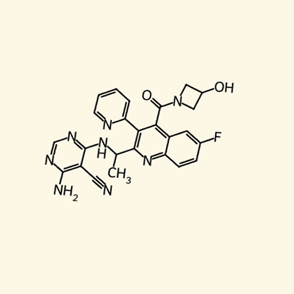 CC(Nc1ncnc(N)c1C#N)c1nc2ccc(F)cc2c(C(=O)N2CC(O)C2)c1-c1ccccn1